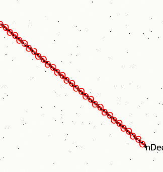 CCCCCCCCCCCCOCCOCCOCCOCCOCCOCCOCCOCCOCCOCCOCCOCCOCCOCCOCCOCCOCCOCCOCCOCCOCCOCCOCCOCCOCCOCCOCCOCCOCCOCCO